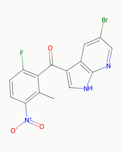 Cc1c([N+](=O)[O-])ccc(F)c1C(=O)c1c[nH]c2ncc(Br)cc12